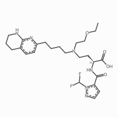 CCOCCN(CCCCc1ccc2c(n1)NCCC2)CC[C@H](NC(=O)c1ccnn1C(F)F)C(=O)O